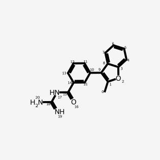 Cc1oc2ccccc2c1-c1cccc(C(=O)NC(=N)N)c1